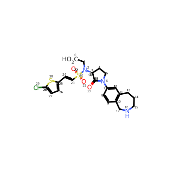 O=C(O)CN([C@H]1CCN(c2ccc3c(c2)CCCNC3)C1=O)S(=O)(=O)C=Cc1ccc(Cl)s1